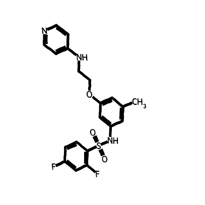 Cc1cc(NS(=O)(=O)c2ccc(F)cc2F)cc(OCCNc2ccncc2)c1